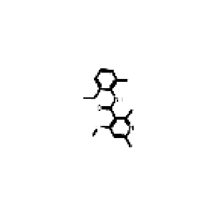 CCc1cccc(C)c1NC(=O)c1c(OC)cc(C)nc1C